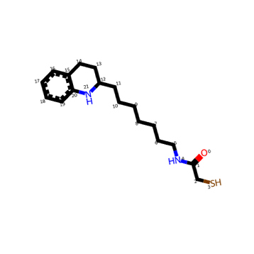 O=C(CS)NCCCCCCCC1CCc2ccccc2N1